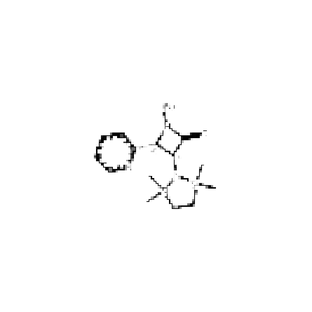 CC(C)(C)N1C(=O)[C@@H](N2[Si](C)(C)CC[Si]2(C)C)[C@@H]1c1ccccn1